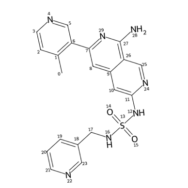 Cc1ccncc1-c1cc2cc(NS(=O)(=O)NCc3cccnc3)ncc2c(N)n1